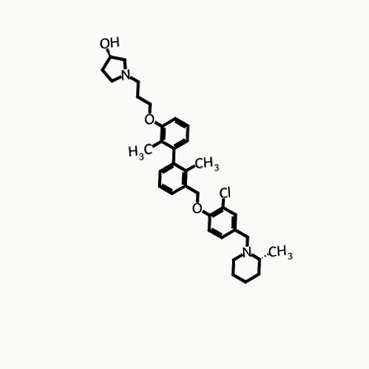 Cc1c(COc2ccc(CN3CCCC[C@H]3C)cc2Cl)cccc1-c1cccc(OCCCN2CC[C@@H](O)C2)c1C